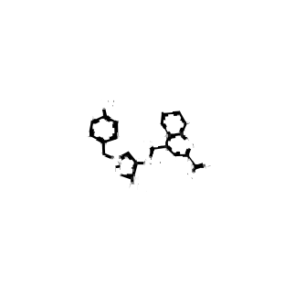 N#Cc1ccc(Cn2cc(NC(=O)c3cc(C(N)=O)nc4ccccc34)c(C(F)(F)F)n2)cc1